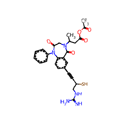 CC(CC(=O)OC(=O)C(F)(F)F)N1CC(=O)N(c2ccccc2)c2ccc(C#CC(S)CNC(=N)N)cc2C1=O